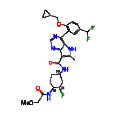 COCC(=O)N[C@H]1CC[C@@H](NC(=O)c2c(C)[nH]c3c(-c4cc(C(F)F)ccc4OCC4CC4)ncnc23)C[C@H]1F